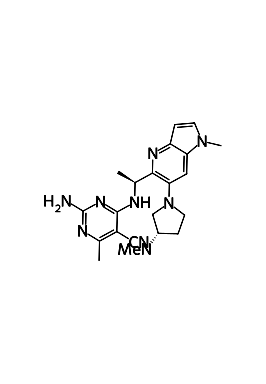 CN[C@H]1CCN(c2cc3c(ccn3C)nc2[C@H](C)Nc2nc(N)nc(C)c2C#N)C1